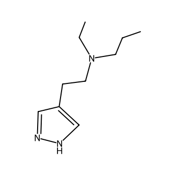 CCCN(CC)CCc1cn[nH]c1